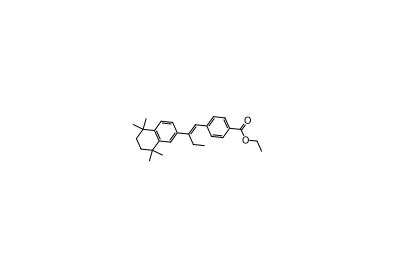 CCOC(=O)c1ccc(C=C(CC)c2ccc3c(c2)C(C)(C)CCC3(C)C)cc1